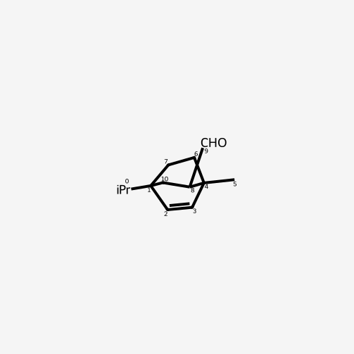 CC(C)C12C=CC(C)(CC1)C(C=O)C2